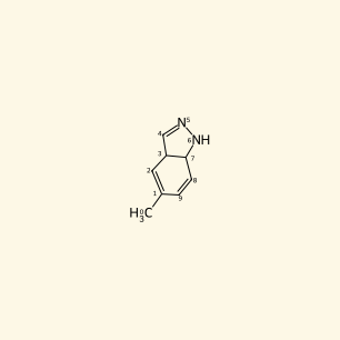 CC1=CC2C=NNC2C=C1